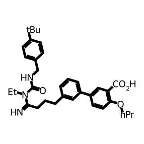 CCCOc1ccc(-c2cccc(CCCC(=N)N(CC)C(=O)NCc3ccc(C(C)(C)C)cc3)c2)cc1C(=O)O